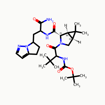 CC(C)(C)OC(=O)NC(C(=O)N1C[C@H]2[C@@H]([C@H]1C(=O)NC(CC1CCc3ccnn31)C(N)=O)C2(C)C)C(C)(C)C